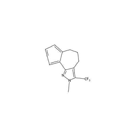 Cn1nc2c(c1C(F)(F)F)CCCc1ccccc1-2